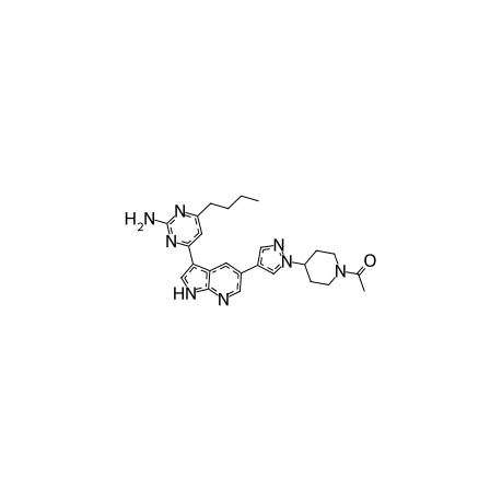 CCCCc1cc(-c2c[nH]c3ncc(-c4cnn(C5CCN(C(C)=O)CC5)c4)cc23)nc(N)n1